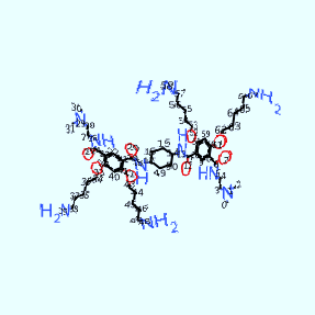 CN(C)CCNC(=O)c1cc(C(=O)NC2CCC(NC(=O)c3cc(C(=O)NCCN(C)C)c(OCCCCCN)cc3OCCCCCN)CC2)c(OCCCCCN)cc1OCCCCCN